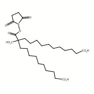 O=C(O)CCCCCCCCCCC(CCCCCCCCCC(=O)O)(C(=O)O)C(=O)ON1C(=O)CCC1=O